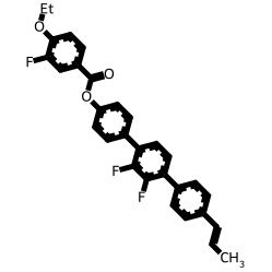 C/C=C/c1ccc(-c2ccc(-c3ccc(OC(=O)c4ccc(OCC)c(F)c4)cc3)c(F)c2F)cc1